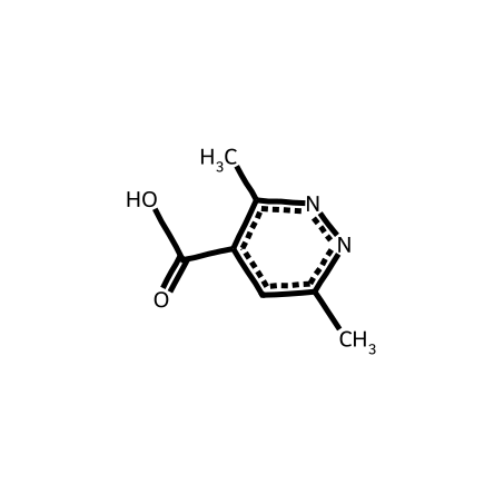 Cc1cc(C(=O)O)c(C)nn1